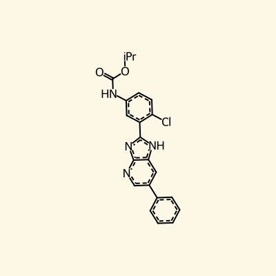 CC(C)OC(=O)Nc1ccc(Cl)c(-c2nc3ncc(-c4ccccc4)cc3[nH]2)c1